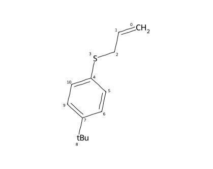 C=CCSc1ccc(C(C)(C)C)cc1